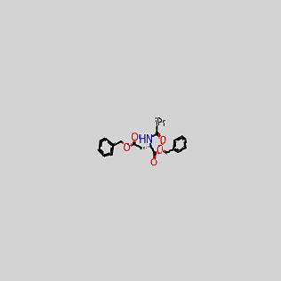 CC(C)C(=O)N[C@@H](CC(=O)OCc1ccccc1)C(=O)OCc1ccccc1